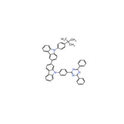 CC(C)(C)c1ccc(-n2c3ccccc3c3cc(-c4ccc5c6ccccc6n(-c6ccc(-c7nc(-c8ccccc8)nc(-c8ccccc8)n7)cc6)c5c4)ccc32)cc1